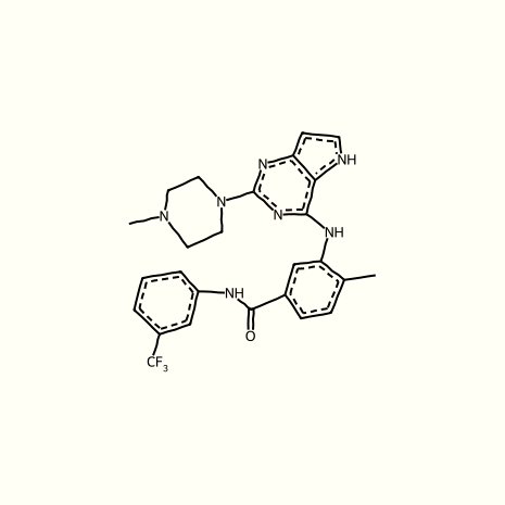 Cc1ccc(C(=O)Nc2cccc(C(F)(F)F)c2)cc1Nc1nc(N2CCN(C)CC2)nc2cc[nH]c12